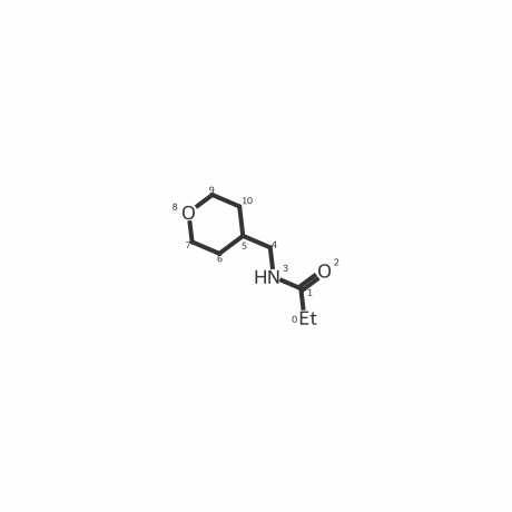 [CH2]CC(=O)NCC1CCOCC1